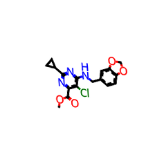 COC(=O)c1nc(C2CC2)nc(NCc2ccc3c(c2)OCO3)c1Cl